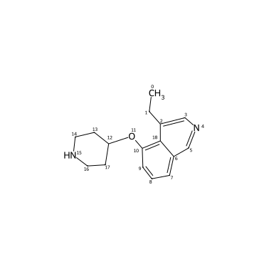 CCc1cncc2cccc(OC3CCNCC3)c12